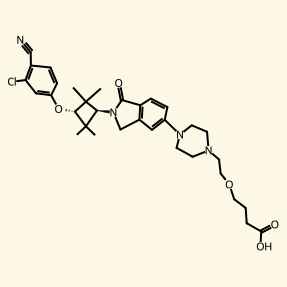 CC1(C)[C@H](Oc2ccc(C#N)c(Cl)c2)C(C)(C)[C@H]1N1Cc2cc(N3CCN(CCOCCCC(=O)O)CC3)ccc2C1=O